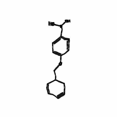 OB(O)c1ccc(OCC2C=CC=CC2)cc1